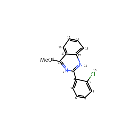 COc1nc(-c2ccccc2Cl)nc2ccccc12